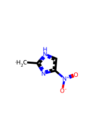 [CH2]c1nc([N+](=O)[O-])c[nH]1